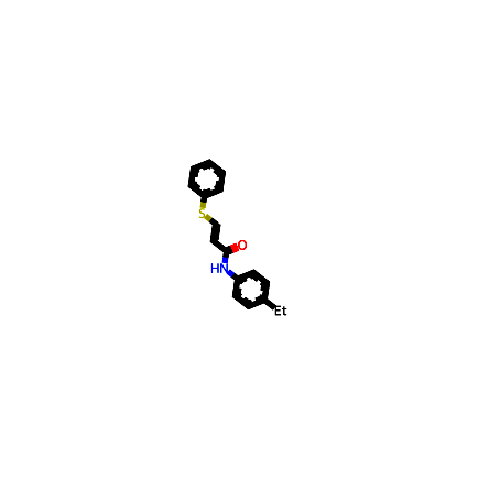 CCc1ccc(NC(=O)C=CSc2ccccc2)cc1